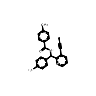 CC#Cc1cccnc1C(NC(=O)c1ccc(OC)cc1)c1ccc(C(F)(F)F)cc1